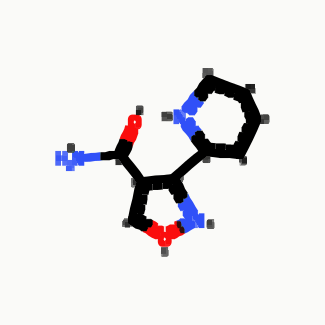 NC(=O)c1[c]onc1-c1ccccn1